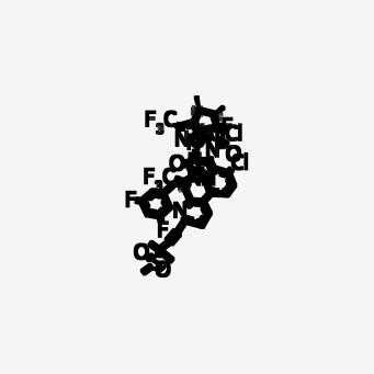 C[C@@H]1c2c(C(F)(F)F)nn(CC(=O)N[C@@H](Cc3cc(F)cc(F)c3)c3nc(C#CC(C)(C)S(C)(=O)=O)ccc3-c3ccc(Cl)c4c(N(C(=O)Cl)S(C)(=O)=O)nn(CC(F)(F)F)c34)c2C(F)(F)[C@@H]1C